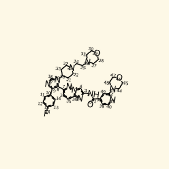 O=C(Nc1cn2nc(-c3c(-c4ccc(F)cc4)ncn3C3CCN(CCN4CCOCC4)CC3)ccc2n1)c1ccnc(N2CCOCC2)c1